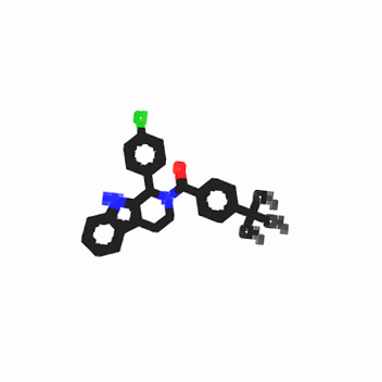 CC(C)(C)c1ccc(C(=O)N2CCc3c([nH]c4ccccc34)C2c2ccc(Cl)cc2)cc1